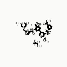 COc1ncc(-c2cc(NC(=O)c3csc(CN4C[C@@H](C)O[C@@H](C)C4)n3)c3cn[nH]c3c2)cc1NS(=O)(=O)c1cccc(C(=O)O)c1.O=C(O)C(F)(F)F